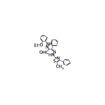 CCOc1ccccc1N/N=C(C=O)\C(=N/Nc1nc(-c2ccccc2)c(C)s1)c1ccccc1